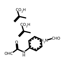 C=C(C)C(=O)O.C=C(C)C(=O)O.NC=O.O=CC(=O)Nc1ccccc1